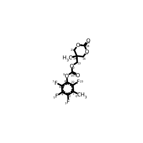 Cc1c(F)c(F)c(F)c(OC(=O)OCC2(C)COC(=O)OC2)c1F